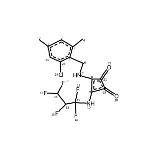 Cc1cc(C)c(CNc2c(NC(F)(F)C(F)C(F)F)c(=O)c2=O)c(Cl)c1